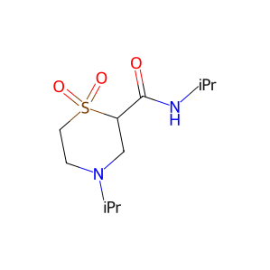 CC(C)NC(=O)C1CN(C(C)C)CCS1(=O)=O